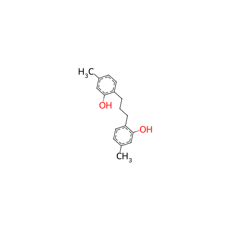 Cc1ccc(CCCc2ccc(C)cc2O)c(O)c1